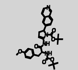 COc1ccc(C[C@H](NC(=O)OC(C)(C)C)C(=O)NC2=CCC(c3ccc4cnccc4c3)N2C(=O)OC(C)(C)C)cc1